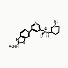 CCN1CCCC(NS(=O)(=O)c2cncc(-c3ccc4nc(NC(C)=O)sc4c3)c2)C1